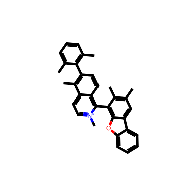 Cc1cc2c(oc3ccccc32)c(-c2c3ccc(-c4c(C)cccc4C)c(C)c3cc[n+]2C)c1C